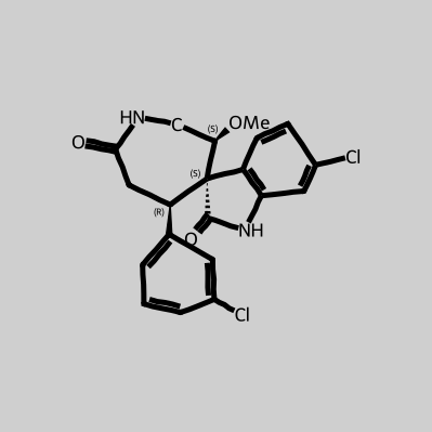 CO[C@@H]1CNC(=O)C[C@H](c2cccc(Cl)c2)[C@@]12C(=O)Nc1cc(Cl)ccc12